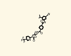 CC(C)c1cc(C#N)cc2nc(-c3ccc(C(=O)NCC4(C)CN(c5ccc(C(F)(F)F)cn5)C(=O)O4)cc3)oc12